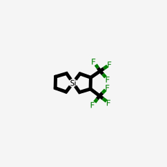 FC(F)(F)C1C[Si]2(CCCC2)CC1C(F)(F)F